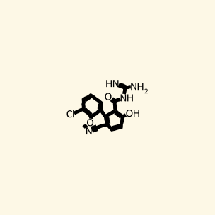 COc1c(Cl)cccc1-c1c(C#N)ccc(O)c1C(=O)NC(=N)N